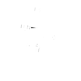 N[C@@H](CS)C(=O)[AsH](=O)c1ccccc1